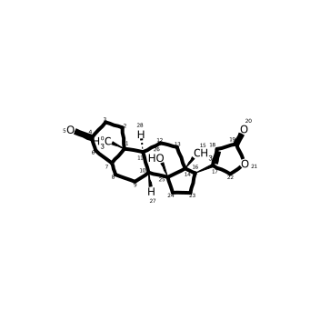 C[C@]12CCC(=O)CC1CC[C@@H]1[C@@H]2CC[C@]2(C)[C@@H](C3=CC(=O)OC3)CC[C@]12O